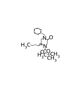 CCCC[C@H]1CN(Cc2ccccc2)C(=O)CN1C(=O)OC(C)(C)C